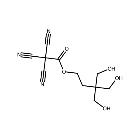 N#CC(C#N)(C#N)C(=O)OCCC(CO)(CO)CO